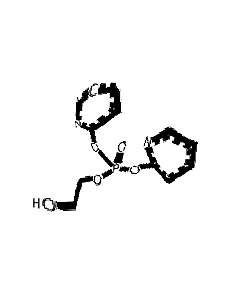 O=P(OCCO)(Oc1ccccn1)Oc1ccccn1